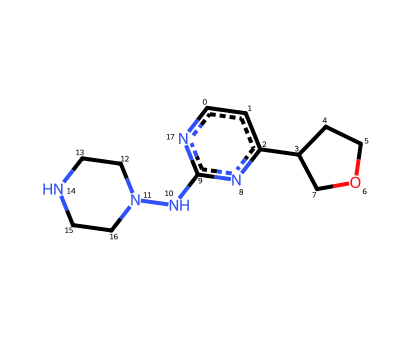 c1cc(C2CCOC2)nc(NN2CCNCC2)n1